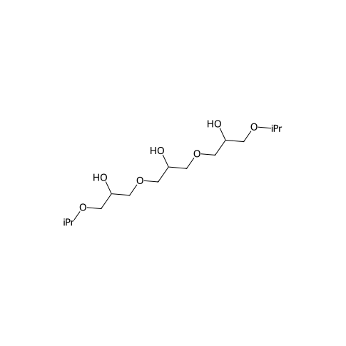 CC(C)OCC(O)COCC(O)COCC(O)COC(C)C